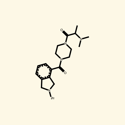 CC(C(=O)N1CCN(C(=O)c2cccc3c2CN(C(C)C)C3)CC1)N(C)C